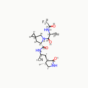 C[C@H]1CNC(=O)[C@@H]1C[C@@H](C#N)NC(=O)[C@@H]1CC2(CC2)CN1C(=O)[C@@H](NC(=O)C(F)(F)F)C(C)(C)C